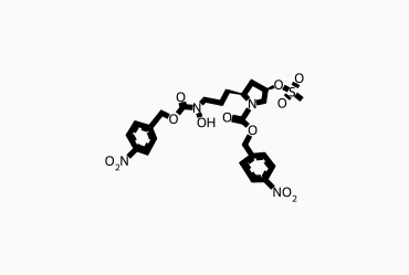 CS(=O)(=O)O[C@@H]1C[C@H](CCCN(O)C(=O)OCc2ccc([N+](=O)[O-])cc2)N(C(=O)OCc2ccc([N+](=O)[O-])cc2)C1